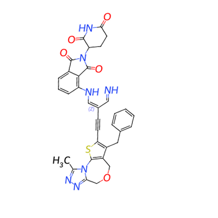 Cc1nnc2n1-c1sc(C#C/C(C=N)=C/Nc3cccc4c3C(=O)N(C3CCC(=O)NC3=O)C4=O)c(Cc3ccccc3)c1COC2